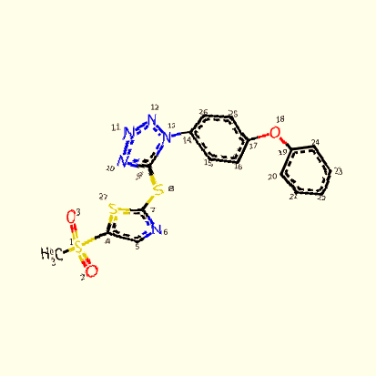 CS(=O)(=O)c1cnc(Sc2nnnn2-c2ccc(Oc3ccccc3)cc2)s1